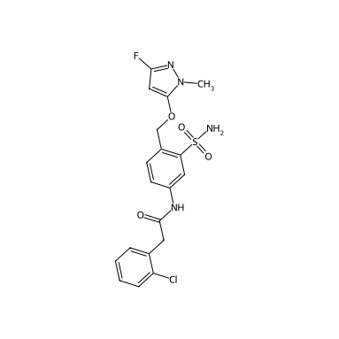 Cn1nc(F)cc1OCc1ccc(NC(=O)Cc2ccccc2Cl)cc1S(N)(=O)=O